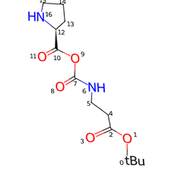 CC(C)(C)OC(=O)CCNC(=O)OC(=O)[C@@H]1CCCN1